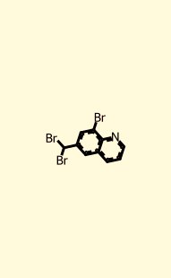 Brc1cc(C(Br)Br)cc2cccnc12